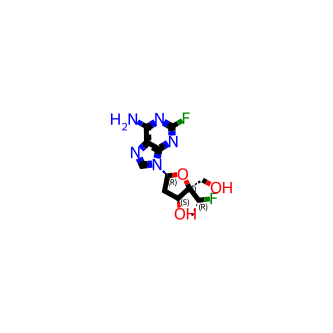 C[C@@H](F)[C@]1(CO)O[C@@H](n2cnc3c(N)nc(F)nc32)C[C@@H]1O